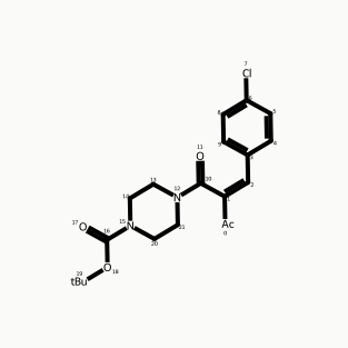 CC(=O)C(=Cc1ccc(Cl)cc1)C(=O)N1CCN(C(=O)OC(C)(C)C)CC1